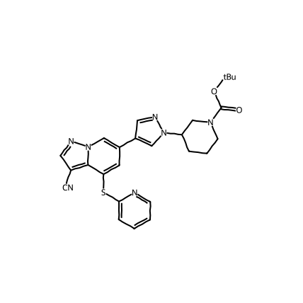 CC(C)(C)OC(=O)N1CCCC(n2cc(-c3cc(Sc4ccccn4)c4c(C#N)cnn4c3)cn2)C1